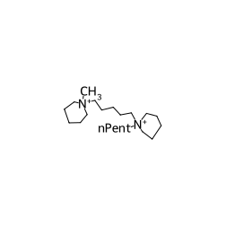 CCCCC[N+]1(CCCCC[N+]2(C)CCCCC2)CCCCC1